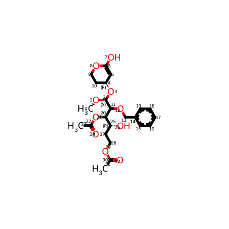 CO[C@@H](O[C@H]1C=C(O)OCC1)C(OCc1ccccc1)C(OC(C)=O)[C@H](O)CCOC(C)=O